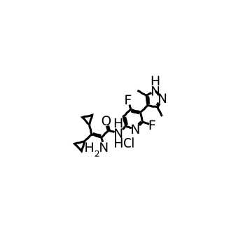 Cc1n[nH]c(C)c1-c1c(F)cc(NC(=O)C(N)=C(C2CC2)C2CC2)nc1F.Cl